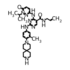 C=CCNC(=O)c1cnc(Nc2ccc(N3CCC4(CCNCC4)CC3)c(C)c2)nc1Nc1ccc(=O)n(C(C)C)n1